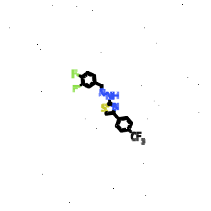 Fc1ccc(C=NNc2nc(-c3ccc(C(F)(F)F)cc3)cs2)cc1F